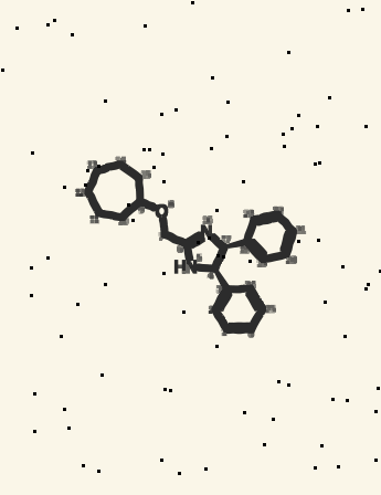 c1ccc([C@H]2NC(COC3CCCCCC3)=N[C@H]2c2ccccc2)cc1